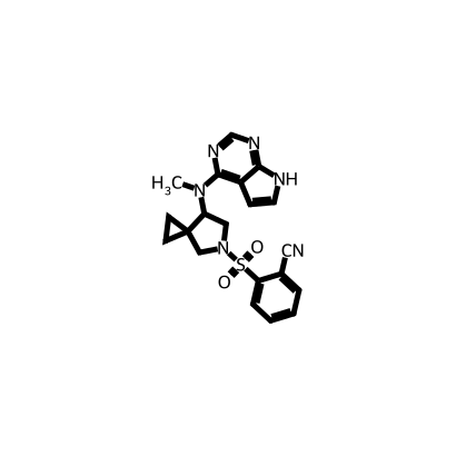 CN(c1ncnc2[nH]ccc12)C1CN(S(=O)(=O)c2ccccc2C#N)CC12CC2